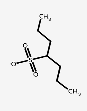 CCCC(CCC)S([O])(=O)=O